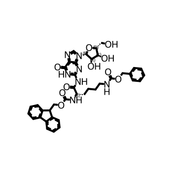 O=C(NCCCC[C@H](NC(=O)OCC1c2ccccc2-c2ccccc21)C(=O)Nc1nc2c(ncn2[C@@H]2O[C@H](CO)[C@@H](O)[C@H]2O)c(=O)[nH]1)OCc1ccccc1